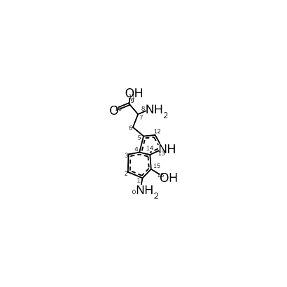 Nc1ccc2c(CC(N)C(=O)O)c[nH]c2c1O